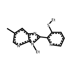 CCSc1cccnc1-c1nc2cc(C)cnc2n1CC